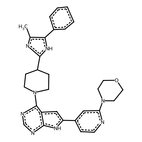 Cc1nc(C2CCN(c3ncnc4[nH]c(-c5ccnc(N6CCOCC6)c5)cc34)CC2)[nH]c1-c1ccccc1